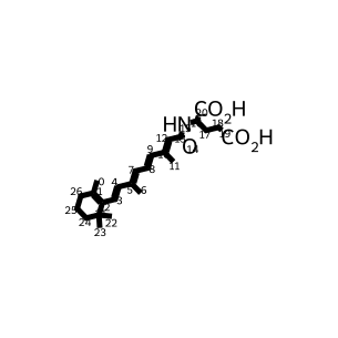 CC1=C(/C=C/C(C)=C/C=C/C(C)=C/C(=O)NC(CCC(=O)O)C(=O)O)C(C)(C)CCC1